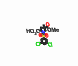 COC(=O)C1(C)C[C@@H](C(=O)O)N(S(=O)(=O)c2cc(Cl)cc(Cl)c2)C1